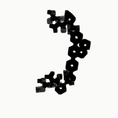 COC(=O)N[C@H](C(=O)N1C2CC2C[C@H]1c1nc2ccc(-c3ccc(-c4ccc(-c5cnc([C@@H]6CCCN6C(=O)[C@@H](NC(O)OC)C(C)C)[nH]5)cc4)c4c3C3(CCCC3)CC4)cc2[nH]1)C(C)C